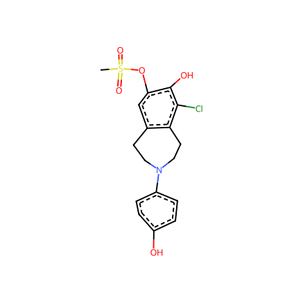 CS(=O)(=O)Oc1cc2c(c(Cl)c1O)CCN(c1ccc(O)cc1)CC2